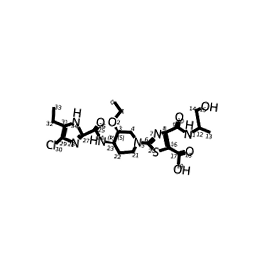 CCO[C@H]1CN(c2nc(C(=O)NC(C)CO)c(C(=O)O)s2)CC[C@H]1NC(=O)c1nc(Cl)c(CC)[nH]1